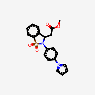 COC(=O)CC1c2ccccc2S(=O)(=O)N1c1ccc(-n2cccc2)cc1